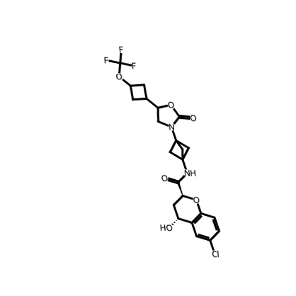 O=C(NC12CC(N3CC(C4CC(OC(F)(F)F)C4)OC3=O)(C1)C2)[C@@H]1C[C@@H](O)c2cc(Cl)ccc2O1